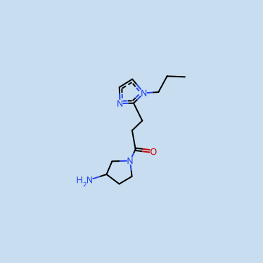 CCCn1ccnc1CCC(=O)N1CCC(N)C1